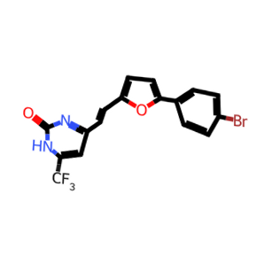 O=c1nc(/C=C/c2ccc(-c3ccc(Br)cc3)o2)cc(C(F)(F)F)[nH]1